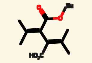 CCC(C)OC(=O)C(=C(C)C)C(C(=O)O)=C(C)C